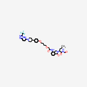 CCCC(C(=O)NC=O)N1Cc2c(NC(=O)COCCCCOc3ccc(C4CCN(c5ccc6nnc(C(F)(F)F)n6n5)CC4)cc3)cccc2C1=O